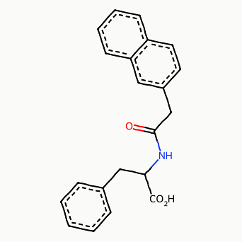 O=C(Cc1ccc2ccccc2c1)NC(Cc1ccccc1)C(=O)O